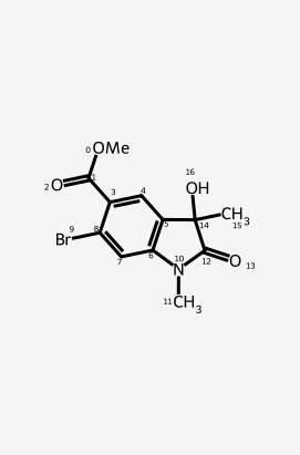 COC(=O)c1cc2c(cc1Br)N(C)C(=O)C2(C)O